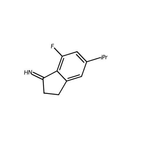 CC(C)c1cc(F)c2c(c1)CCC2=N